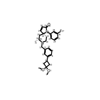 COC1(OC)CC(c2cccc(CN3CC[C@@]4(C=CC(=O)N4c4cccc(F)c4)C[C@H]3C)c2)C1